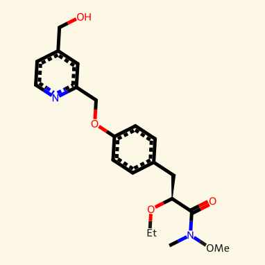 CCO[C@@H](Cc1ccc(OCc2cc(CO)ccn2)cc1)C(=O)N(C)OC